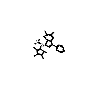 CC1=C(C)C(C)[C]([Zr]([CH]2C=C(c3ccccc3)c3cc(C)c(C)cc32)=[Si](C)C)=C1C